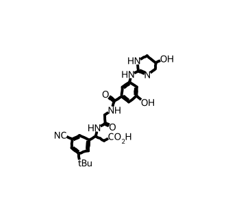 CC(C)(C)c1cc(C#N)cc(C(CC(=O)O)NC(=O)CNC(=O)c2cc(O)cc(NC3=NCC(O)CN3)c2)c1